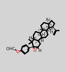 C=C(C)[C@@H]1CC[C@]2(C(C)=O)CC[C@]3(C)[C@H](CC[C@@H]4[C@@]5(C)C[C@@H]6O[C@]6(c6ccc(OC=O)cc6)C(C)(C)[C@@H]5CC[C@]43C)[C@@H]12